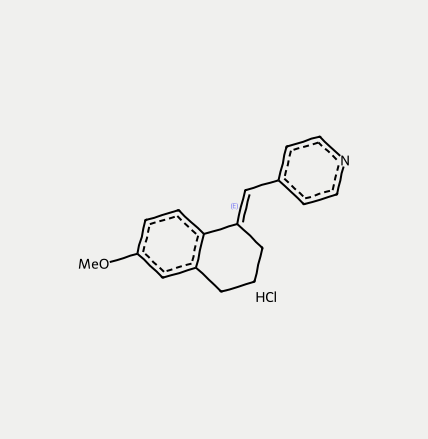 COc1ccc2c(c1)CCC/C2=C\c1ccncc1.Cl